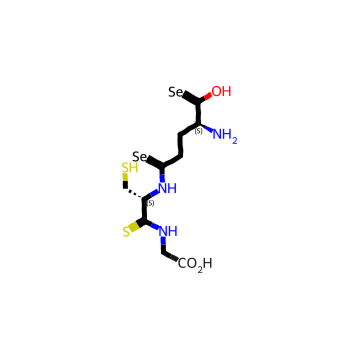 N[C@@H](CCC(=[Se])N[C@@H](CS)C(=S)NCC(=O)O)C(O)=[Se]